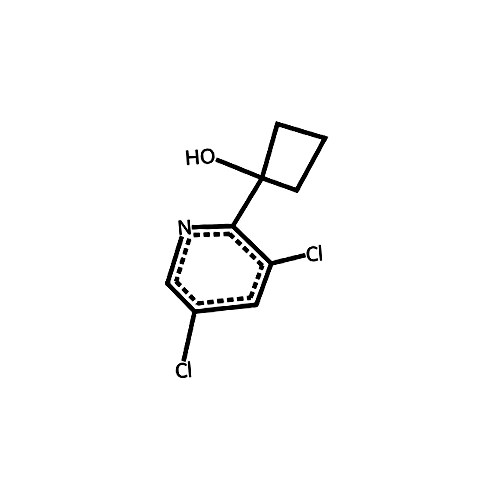 OC1(c2ncc(Cl)cc2Cl)CCC1